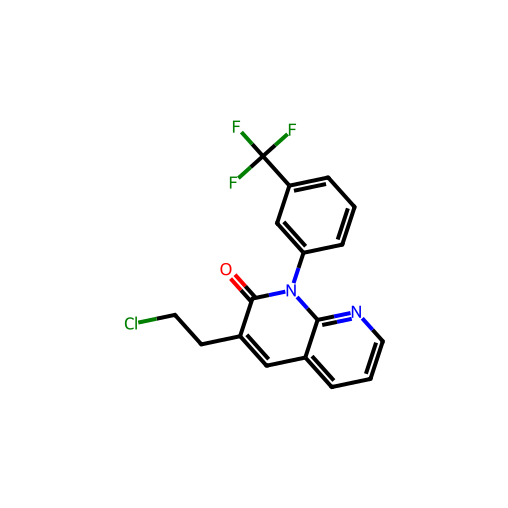 O=c1c(CCCl)cc2cccnc2n1-c1cccc(C(F)(F)F)c1